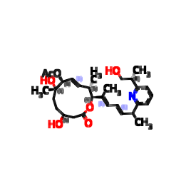 CC(=O)O[C@H]1/C=C/[C@H](C)[C@@H](/C(C)=C/C=C/C(C)c2cccc([C@@H](C)CO)n2)OC(=O)C[C@@H](O)CC[C@]1(C)O